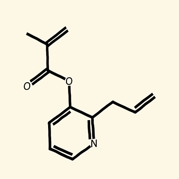 C=CCc1ncccc1OC(=O)C(=C)C